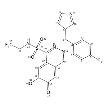 Fc1ccc(CC2C=CN=C2)cc1.O=C1C=c2cnnc(S(=O)(=O)NCC(F)(F)F)c2=CC1O